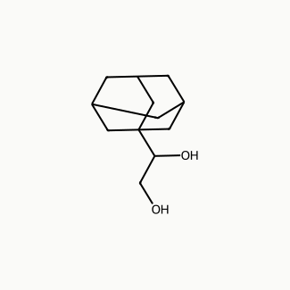 OCC(O)C12CC3CC(CC(C3)C1)C2